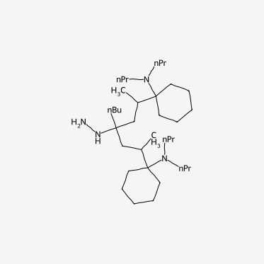 CCCCC(CC(C)C1(N(CCC)CCC)CCCCC1)(CC(C)C1(N(CCC)CCC)CCCCC1)NN